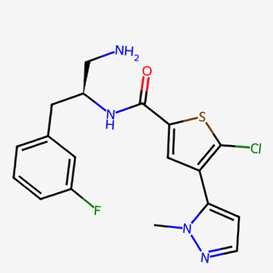 Cn1nccc1-c1cc(C(=O)N[C@H](CN)Cc2cccc(F)c2)sc1Cl